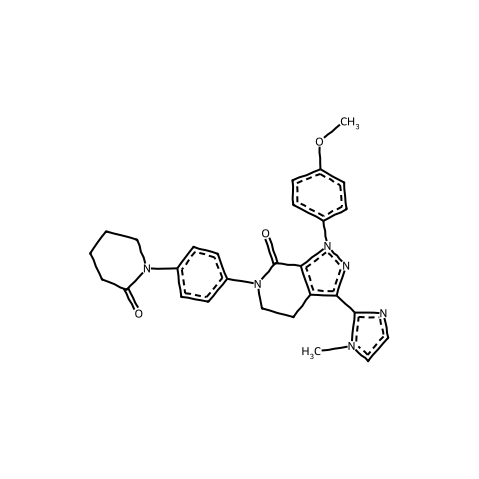 COc1ccc(-n2nc(-c3nccn3C)c3c2C(=O)N(c2ccc(N4CCCCC4=O)cc2)CC3)cc1